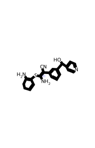 N#C/C(=C(/N)SC1=C(N)CCC=C1)c1cccc(C(O)c2ccncc2)c1